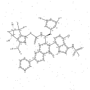 Cn1nc(NS(C)(=O)=O)c2c(Cl)ccc(-n3c([C@H](Cc4cc(F)cc(F)c4)NC(=O)Cn4nc(C(F)F)c5c4C(F)(F)[C@@H]4C[C@H]54)nc4nc(-c5cccnc5)ccc4c3=O)c21